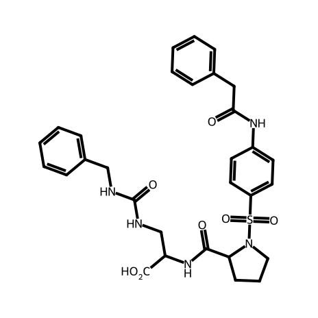 O=C(Cc1ccccc1)Nc1ccc(S(=O)(=O)N2CCCC2C(=O)NC(CNC(=O)NCc2ccccc2)C(=O)O)cc1